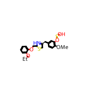 CCOc1ccccc1OCC1N[C@@H](Cc2ccc(OC)c(OSO)c2)CS1